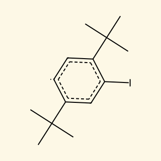 CC(C)(C)c1[c]cc(C(C)(C)C)c(I)c1